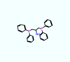 NC(CP(c1ccccc1)c1ccccc1)CP(c1ccccc1)c1ccccc1